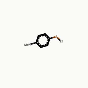 CCSc1ccc(NC)cc1